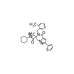 Cc1ccccc1CN1C(=O)c2cc(-c3cccs3)nn2CC1(C)C(=O)NC1CCCCC1